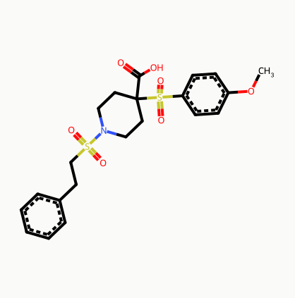 COc1ccc(S(=O)(=O)C2(C(=O)O)CCN(S(=O)(=O)CCc3ccccc3)CC2)cc1